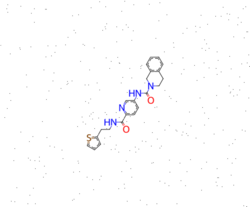 O=C(NCCc1cccs1)c1ccc(NC(=O)N2CCc3ccccc3C2)cn1